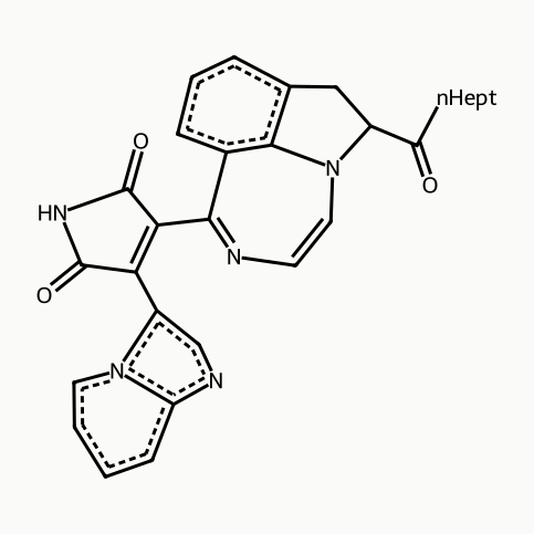 CCCCCCCC(=O)C1Cc2cccc3c2N1C=CN=C3C1=C(c2cnc3ccccn23)C(=O)NC1=O